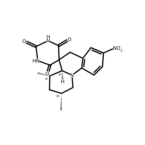 C[C@@H]1C[C@H](C)[C@@H]2N(C1)c1ccc([N+](=O)[O-])cc1CC21C(=O)NC(=O)NC1=O